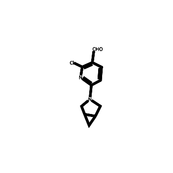 O=Cc1ccc(N2CC3CC3C2)nc1Cl